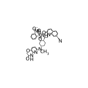 CN(c1ccc2c(n1)NC(=O)CO2)[C@H]1CC[C@H](C(Cn2c(=O)ccc3ccc(C#N)cc32)NS(=O)(=O)c2ccccc2[N+](=O)[O-])CC1